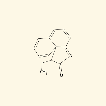 CCC1C(=O)N=C2C=CC=C3C=CC=CC321